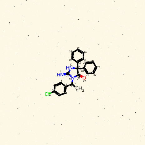 CC(c1ccc(Cl)cc1)N1C(=N)NC(c2ccccc2)(c2ccccc2)C1=O